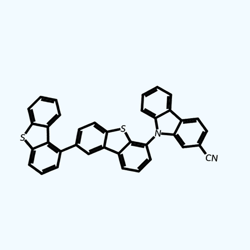 N#Cc1ccc2c3ccccc3n(-c3cccc4c3sc3ccc(-c5cccc6sc7ccccc7c56)cc34)c2c1